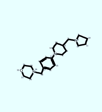 c1cc(N2CCC(CN3CCCC3)CC2)ccc1CN1CCOCC1